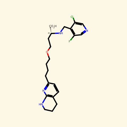 O=C(O)[C@@H](CCOCCCCc1ccc2c(n1)NCCC2)NCc1c(F)cncc1Cl